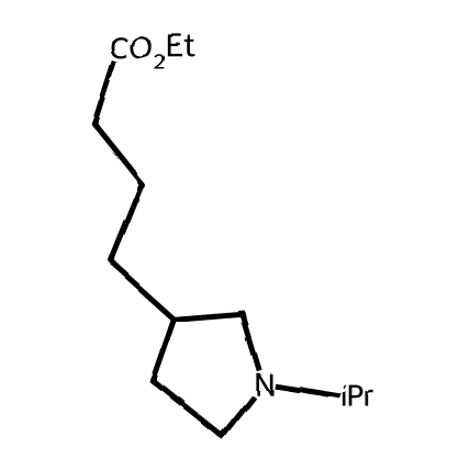 CCOC(=O)CCCC1CCN(C(C)C)C1